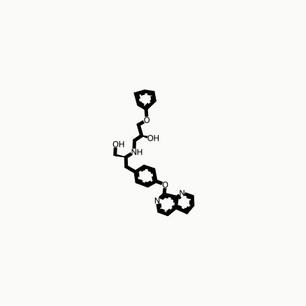 OC[C@H](Cc1ccc(Oc2nccc3cccnc23)cc1)NC[C@H](O)COc1ccccc1